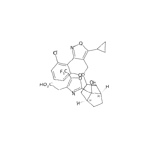 O=C(O)Cc1nc(C2(O)[C@@H]3CC[C@H]2CC(OCc2c(-c4c(Cl)cccc4Cl)noc2C2CC2)C3)oc1C(F)(F)F